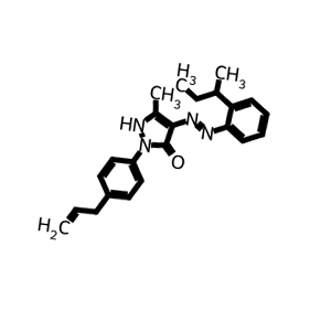 C=CCc1ccc(-n2[nH]c(C)c(/N=N/c3ccccc3C(C)CC)c2=O)cc1